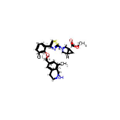 COC(=O)[C@]12C[C@H]1CN(c1nc(-c3cccc(C)c3OCc3cc(C)c4c(c3)CCNC4)cs1)C2